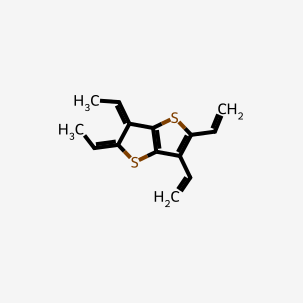 C=Cc1sc2c(=C/C)/c(=C\C)sc2c1C=C